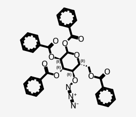 [N-]=[N+]=NO[C@H]1[C@H](OC(=O)c2ccccc2)[C@@H](OC(=O)c2ccccc2)C(OC(=O)c2ccccc2)O[C@@H]1COC(=O)c1ccccc1